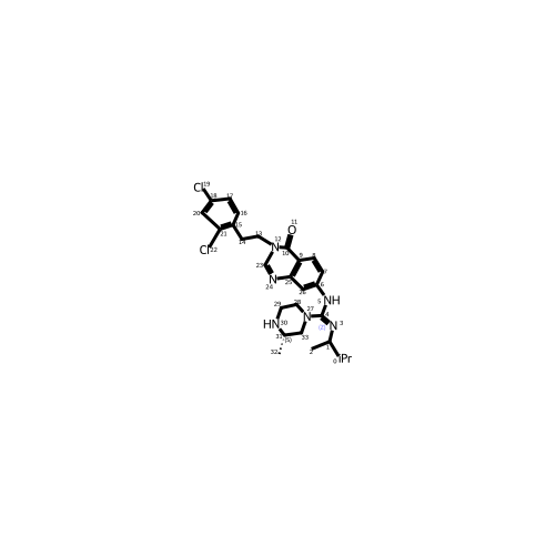 CC(C)C(C)/N=C(/Nc1ccc2c(=O)n(CCc3ccc(Cl)cc3Cl)cnc2c1)N1CCN[C@@H](C)C1